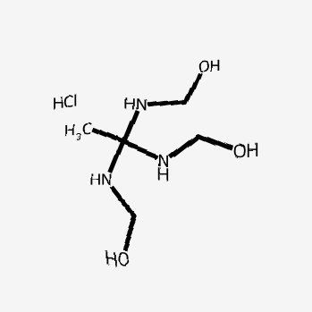 CC(NCO)(NCO)NCO.Cl